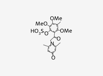 COc1c(C)c(OC)c(C(=O)Cn2c(C)cc(=O)cc2C)c(OS(=O)(=O)O)c1OC